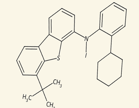 CC(C)(C)c1cccc2c1sc1c(N(I)c3ccccc3C3CCCCC3)cccc12